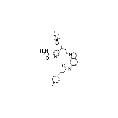 Cc1ccc(CCC(=O)Nc2ccc3ccn(CC[C@H](CO[Si](C)(C)C(C)(C)C)n4cnc(C(N)=O)c4)c3c2)cc1